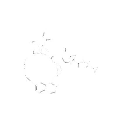 C=CCN(C[C@@H]1NC(=O)OCCC/C=C/c2ccc3ccnc(c3c2)O[C@@H]2C[C@@H](C(=O)N[C@]3(C(=O)NS(=O)(=O)C4CC4)C[C@H]3C=C)N(C2)C1=O)C(=O)C=C